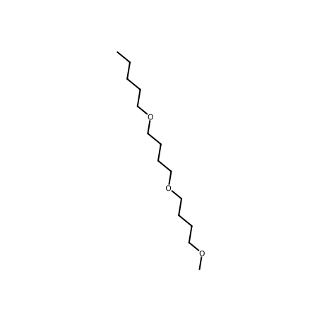 CCCCCOCCCCOCCCCOC